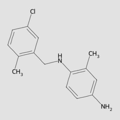 Cc1ccc(Cl)cc1CNc1ccc(N)cc1C